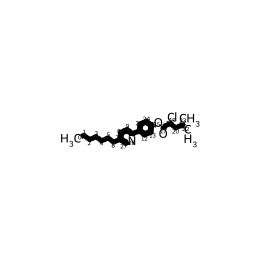 CCCCCCCc1ccc(-c2ccc(OC(=O)C(Cl)CC(C)C)cc2)nc1